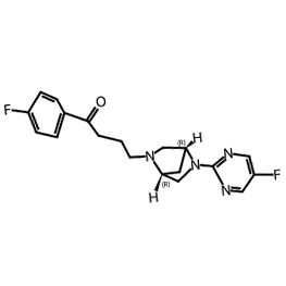 O=C(CCCN1C[C@H]2C[C@@H]1CN2c1ncc(F)cn1)c1ccc(F)cc1